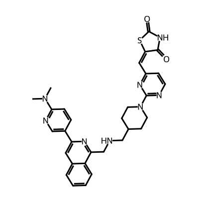 CN(C)c1ccc(-c2cc3ccccc3c(CNCC3CCN(c4nccc(C=C5SC(=O)NC5=O)n4)CC3)n2)cn1